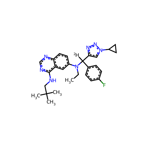 [2H]C(c1ccc(F)cc1)(c1cn(C2CC2)nn1)N(CC)c1ccc2ncnc(NCC(C)(C)C)c2c1